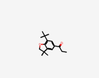 CCC(=O)c1cc(C(C)(C)C)c2c(c1)C(C)(C)CO2